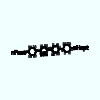 CCCCCCCC1CCC(c2ccc(-c3ccc(C4CCC(CCCCC)CC4)nn3)cc2)CC1